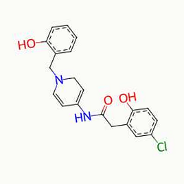 O=C(Cc1cc(Cl)ccc1O)NC1=CCN(Cc2ccccc2O)C=C1